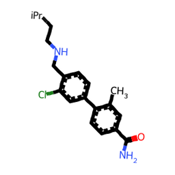 Cc1cc(C(N)=O)ccc1-c1ccc(CNCCC(C)C)c(Cl)c1